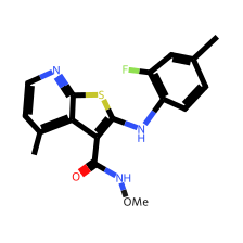 CONC(=O)c1c(Nc2ccc(C)cc2F)sc2nccc(C)c12